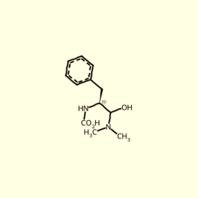 CN(C)C(O)[C@H](Cc1ccccc1)NC(=O)O